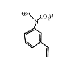 C=Cc1cccc(N(C(=O)O)C(C)(C)C)c1